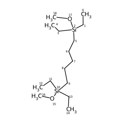 CC[Si](CC)(CCCCC[Si](CC)(CC)OC)OC